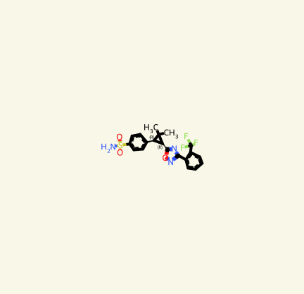 CC1(C)[C@H](c2ccc(S(N)(=O)=O)cc2)[C@H]1c1nc(-c2ccccc2C(F)(F)F)no1